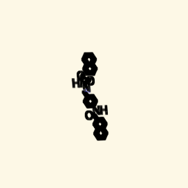 O=C(Nc1ccc(/C=N/NS(=O)(=O)c2ccc3ccccc3c2)cc1)c1ccc2ccccc2c1